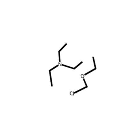 CCN(CC)CC.CCOCCl